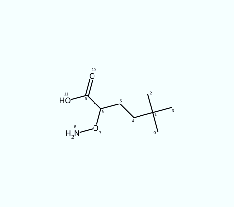 CC(C)(C)CCC(ON)C(=O)O